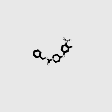 Cc1cc(OC2CCN(C(=O)OCc3ccccc3)CC2)ccc1[N+](=O)[O-]